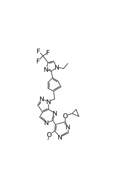 CCn1cc(C(F)(F)F)nc1-c1ccc(Cn2ncc3cnc(-c4c(OC)ncnc4OC4CC4)nc32)cc1